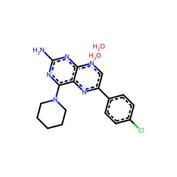 Nc1nc(N2CCCCC2)c2nc(-c3ccc(Cl)cc3)cnc2n1.O.O